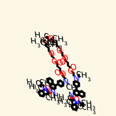 CCN(CCOC(=O)CCC(=O)OCCOCCC[Si](C)(C)O[Si](C)(C)O[Si](C)(C)CCCOCCOC(=O)CCC(=O)OCCN(CC)c1ccc(-c2cc3c(c4ccccc24)OC2(C=N3)N(CC(C)(C)C)c3ccccc3C2(C)C)cc1)c1ccc(-c2cc3c(c4ccccc24)OC2(C=N3)N(CC(C)(C)C)c3ccccc3C2(C)C)cc1